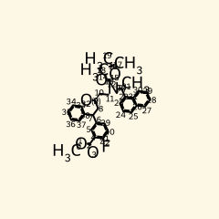 COC(=O)c1cc(C2C[C@H](CCN(C(=O)OC(C)(C)C)[C@H](C)c3cccc4ccccc34)Oc3ccccc32)ccc1F